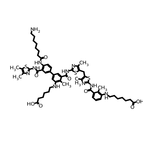 Cc1nc(NC(=O)c2cc(-c3cc(NCCCCCC(=O)O)c(C)c(C(=O)Nc4nc(C)c(Cc5sc(NC(=O)c6cccc(NCCCCCCC(=O)O)c6C)nc5C)s4)c3)ccc2NC(=O)CCCCCCCN)sc1C